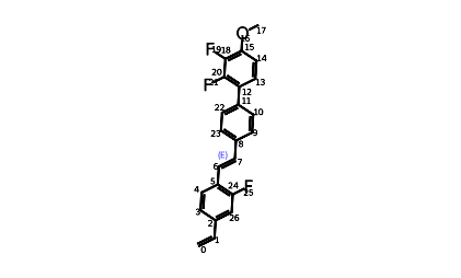 C=Cc1ccc(/C=C/c2ccc(-c3ccc(OC)c(F)c3F)cc2)c(F)c1